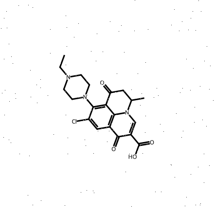 CCN1CCN(c2c(Cl)cc3c(=O)c(C(=O)O)cn4c3c2C(=O)CC4C)CC1